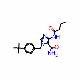 CCCC(=O)Nc1ncn(Cc2ccc(C(C)(C)C)cc2)c1C(N)=O